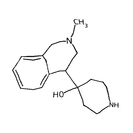 CN1Cc2ccccc2C(C2(O)CCNCC2)C1